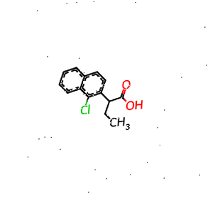 CCC(C(=O)O)c1ccc2ccccc2c1Cl